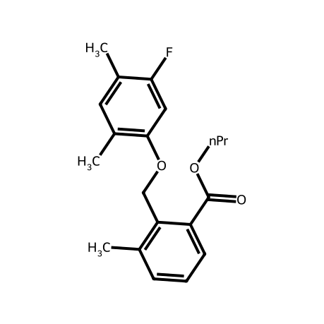 CCCOC(=O)c1cccc(C)c1COc1cc(F)c(C)cc1C